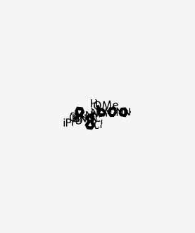 COc1cc(N2CCC(N3CCN(C)CC3)CC2)ccc1Nc1nc(Nc2ccccc2S(=O)(=O)C(C)C)c2cccc(Cl)c2n1